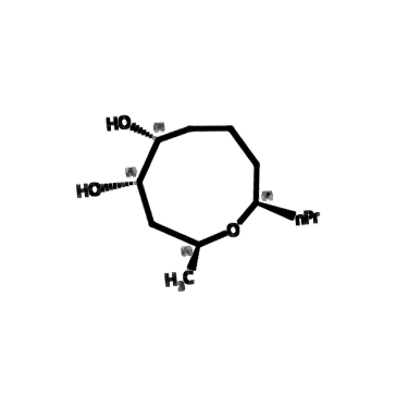 CCC[C@@H]1CCC[C@@H](O)[C@@H](O)C[C@H](C)O1